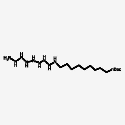 CCCCCCCCCCCCCCCCCCCNNNNNNNNN